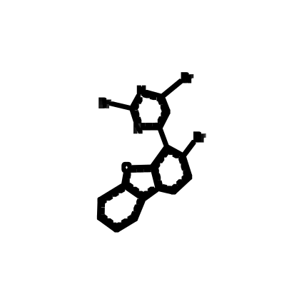 Brc1cc(-c2c(Br)ccc3c2oc2ccccc23)nc(Br)n1